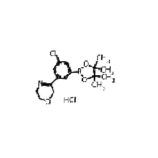 CC1(C)OB(c2cc(Cl)cc(C3=NCCOC3)c2)OC1(C)C.Cl